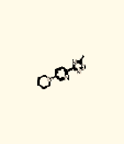 Cc1nc(-c2ccc(N3CCCCC3)cn2)no1